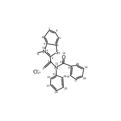 C=C(c1sc2ccccc2[n+]1C)N(C(=O)c1ccccc1)c1ccccc1.[Cl-]